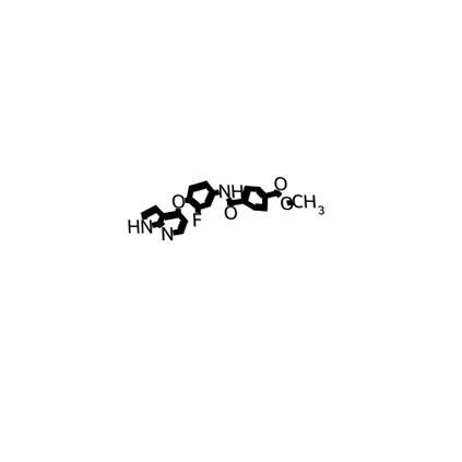 COC(=O)c1ccc(C(=O)Nc2ccc(Oc3ccnc4[nH]ccc34)c(F)c2)cc1